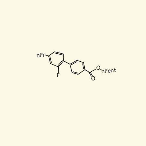 CCCCCOC(=O)c1ccc(-c2ccc(CCC)cc2F)cc1